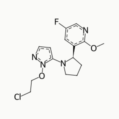 COc1ncc(F)cc1[C@H]1CCCN1c1ccnn1OCCCl